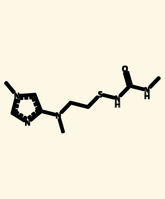 CNC(=O)NSCCN(C)c1cn(C)cn1